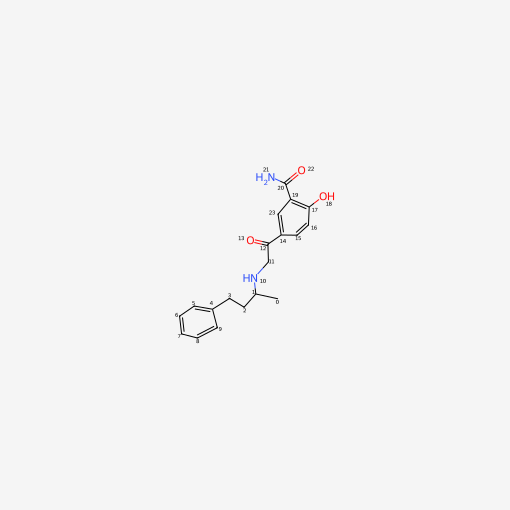 CC(CCc1ccccc1)NCC(=O)c1ccc(O)c(C(N)=O)c1